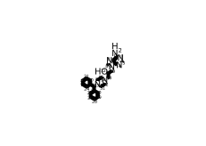 Nc1ncnc2c1ncn2C[C@@H](O)CN1CCN(C(c2ccccc2)c2ccccc2)CC1